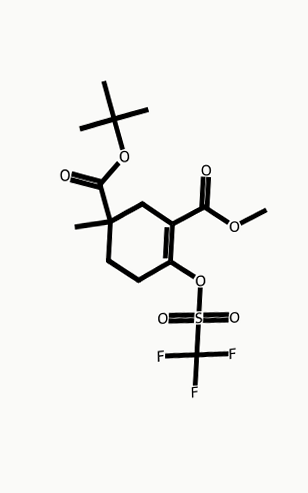 COC(=O)C1=C(OS(=O)(=O)C(F)(F)F)CCC(C)(C(=O)OC(C)(C)C)C1